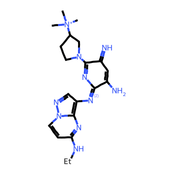 CCNc1ccn2ncc(/N=C3\N=C(N4CCC([N+](C)(C)C)C4)C(=N)C=C3N)c2n1